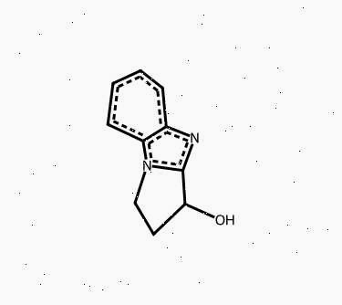 OC1CCn2c1nc1ccccc12